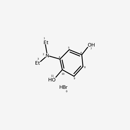 Br.CCN(CC)c1cc(O)ccc1O